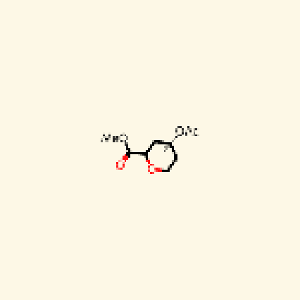 COC(=O)C1C[C@H](OC(C)=O)CCO1